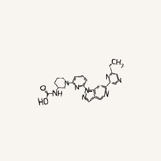 CCc1cncc(-c2cc3c(cn2)cnn3-c2cccc(N3CCCC(NC(=O)O)C3)n2)n1